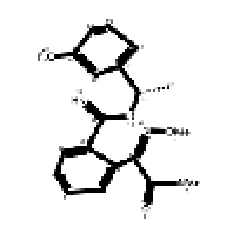 CNC(=O)/C(=N\OC)c1ccccc1C(=N)O[C@@H](C)c1cccc(C(F)(F)F)c1